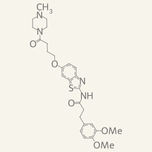 COc1ccc(CCC(=O)Nc2nc3ccc(OCCCC(=O)N4CCN(C)CC4)cc3s2)cc1OC